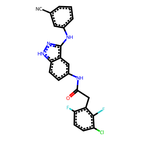 N#Cc1cccc(Nc2n[nH]c3ccc(NC(=O)Cc4c(F)ccc(Cl)c4F)cc23)c1